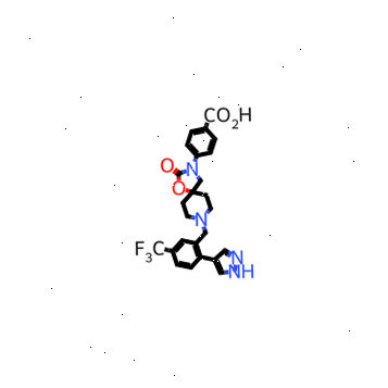 O=C(O)c1ccc(N2CC3(CCN(Cc4cc(C(F)(F)F)ccc4-c4cn[nH]c4)CC3)OC2=O)cc1